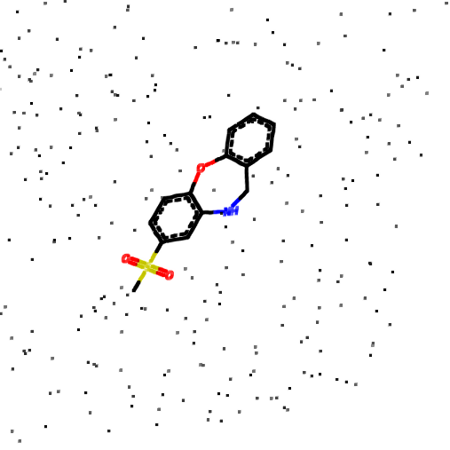 CS(=O)(=O)c1ccc2c(c1)NCc1ccccc1O2